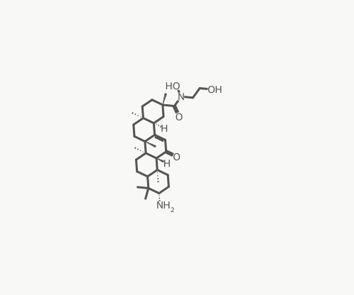 CC1(C)C2CC[C@]3(C)[C@H](C(=O)C=C4[C@@H]5C[C@@](C)(C(=O)N(O)CCO)CC[C@]5(C)CC[C@]43C)[C@@]2(C)CC[C@@H]1N